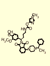 COc1ccc([C@@H](CCCNC(=O)Oc2cn(C)cn2)N2C(=O)c3cccc(N4CCN([C@H](C)c5ccccc5)CC4)c3C2=O)cc1OC